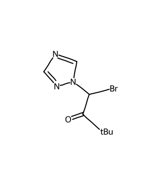 CC(C)(C)C(=O)C(Br)n1cncn1